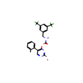 CSc1ncc(-c2ccccc2C)c(OC(=O)N(C)Cc2cc(C(F)(F)F)cc(C(F)(F)F)c2)n1